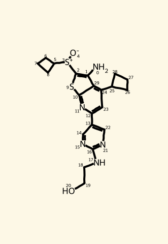 Nc1c([S+]([O-])C2CCC2)sc2nc(-c3cnc(NCCO)nc3)cc(C3CCC3)c12